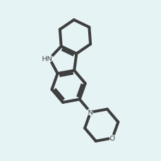 c1cc2[nH]c3c(c2cc1N1CCOCC1)CCCC3